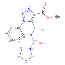 CC1c2c(C(=O)OC(C)(C)C)ncn2-c2ccccc2N1C(=O)N1CCCC1